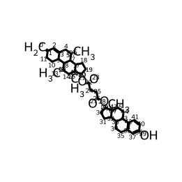 C=C1C=C2C[C@@H](C)C3C(C2CC1)[C@@H](C)C[C@@]1(C)C3CC[C@@H]1OC(=O)CCC(=O)O[C@H]1CCC2C3CCc4cc(O)ccc4C3CC[C@@]21C